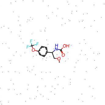 COCC(NC(=O)O)c1ccc(OC(F)(F)F)cc1